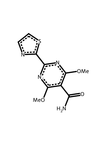 COc1nc(-c2nccs2)nc(OC)c1C(N)=O